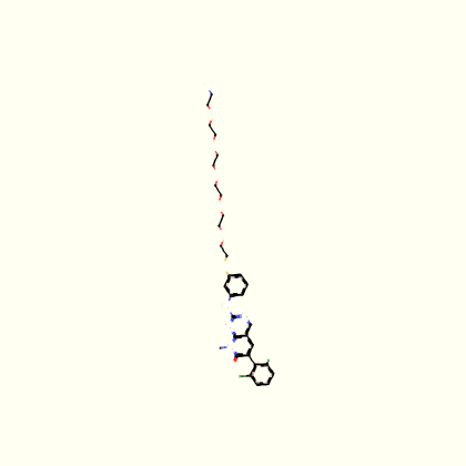 Cn1c(=O)c(-c2c(Cl)cccc2Cl)cc2cnc(Nc3cccc(SCCOCCOCCOCCOCCOCCN)c3)nc21